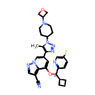 Cc1c(-c2cc(O[C@@H](c3ccc(F)cn3)C3CCC3)c3c(C#N)cnn3c2)nnn1C1CCN(C2COC2)CC1